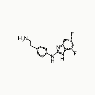 NCCc1ccc(Nc2nc3cc(F)cc(F)c3[nH]2)cc1